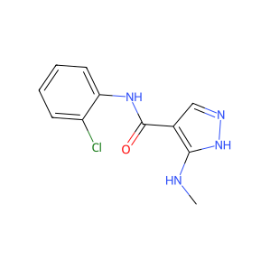 CNc1[nH]ncc1C(=O)Nc1ccccc1Cl